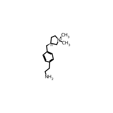 C[N+]1(C)CC[C@H](Cc2ccc(CCN)cc2)C1